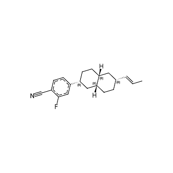 CC=C[C@@H]1CC[C@@H]2C[C@H](c3ccc(C#N)c(F)c3)CC[C@@H]2C1